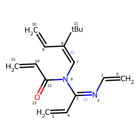 C=C/N=C(/C=C)N(/C=C(\C=C)C(C)(C)C)C(=O)C=C